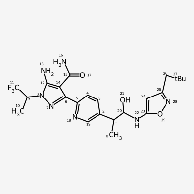 CC(c1ccc(-c2nn(C(C)C(F)(F)F)c(N)c2C(N)=O)nc1)C(O)Nc1cc(CC(C)(C)C)no1